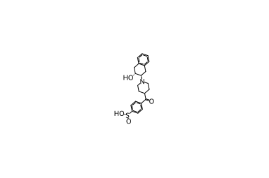 O=C(c1ccc(S(=O)O)cc1)C1CCN([C@@H]2Cc3ccccc3C[C@H]2O)CC1